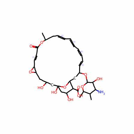 CC1C/C=C/C=C/C=C/C=C/C(OC2OC(C)C(C)C(N)C2O)CC2OC(O)(CC(O)CC3OC3/C=C/C(=O)O1)CC(O)C2C(=O)O